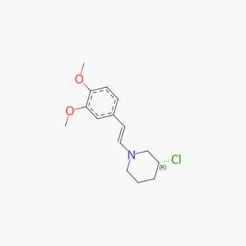 COc1ccc(C=CN2CCC[C@@H](Cl)C2)cc1OC